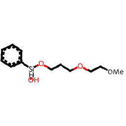 COCCOCCCO[SiH](O)c1ccccc1